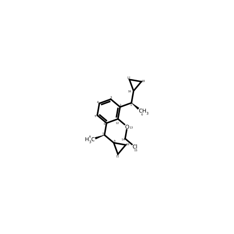 C[C@@H](c1cccc([C@H](C)C2CC2)c1OCCl)C1CC1